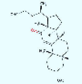 CC(=O)O[C@@H]1CC[C@]2(C)C3=CC(=O)[C@]4(C)C([C@H](C)CCC=O)CC[C@H]4[C@@H]3CC[C@@H]2C1